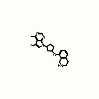 Cc1ncnc2c1c(F)cn2C1CCC(Oc2cccc3c2CNCC3)C1